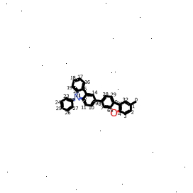 Cc1ccc2oc3cc(-c4ccc5c(c4)c4ccccc4n5-c4ccccc4)ccc3c2c1